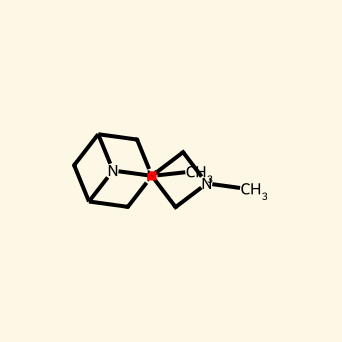 CN1CC2CC(C1)N2C1CN(C)C1